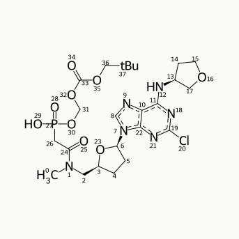 CN(C[C@@H]1CC[C@H](n2cnc3c(N[C@H]4CCOC4)nc(Cl)nc32)O1)C(=O)CP(=O)(O)OCOC(=O)OCC(C)(C)C